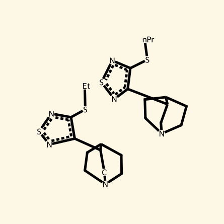 CCCSc1nsnc1C1CN2CCC1CC2.CCSc1nsnc1C1CN2CCC1CC2